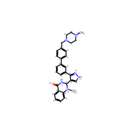 CN1CCN(Cc2ccc(-c3cccc(-c4n[nH]cc4C4NC(=O)c5ccccc5N4C)c3)cc2)CC1